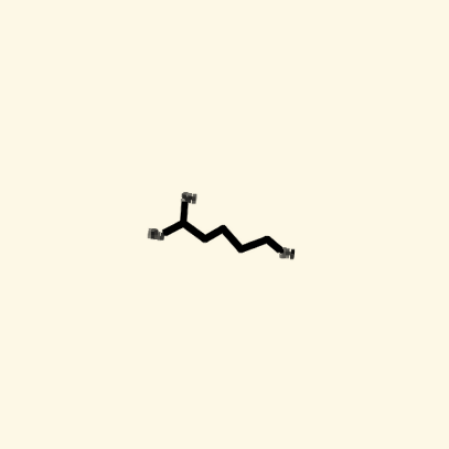 CCC(C)C(S)CCCCS